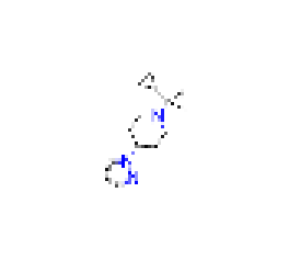 c1cnn(C2CCN(C3(C4CC4)CC3)CC2)c1